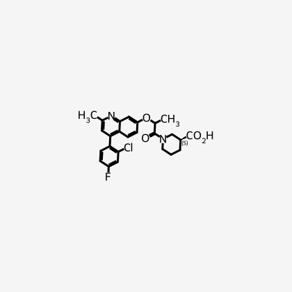 Cc1cc(-c2ccc(F)cc2Cl)c2ccc(OC(C)C(=O)N3CCC[C@H](C(=O)O)C3)cc2n1